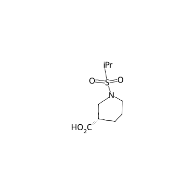 CC(C)S(=O)(=O)N1CCC[C@H](C(=O)O)C1